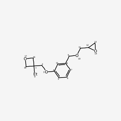 CCC1(COc2cccc(COCC3CO3)c2)COC1